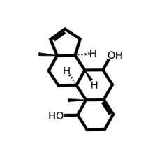 C[C@@]12C=CC[C@H]1[C@@H]1C(O)CC3=CCCC(O)[C@]3(C)[C@H]1CC2